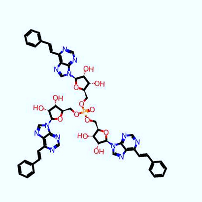 O=P(OC[C@H]1O[C@@H](n2cnc3c(/C=C/c4ccccc4)ncnc32)[C@H](O)[C@@H]1O)(OC[C@H]1O[C@@H](n2cnc3c(/C=C/c4ccccc4)ncnc32)[C@H](O)[C@@H]1O)OC[C@H]1O[C@@H](n2cnc3c(/C=C/c4ccccc4)ncnc32)[C@H](O)[C@@H]1O